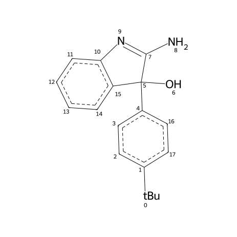 CC(C)(C)c1ccc(C2(O)C(N)=Nc3ccccc32)cc1